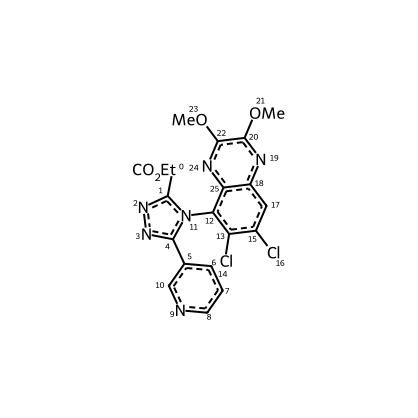 CCOC(=O)c1nnc(-c2cccnc2)n1-c1c(Cl)c(Cl)cc2nc(OC)c(OC)nc12